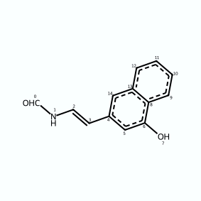 O=CNC=Cc1cc(O)c2ccccc2c1